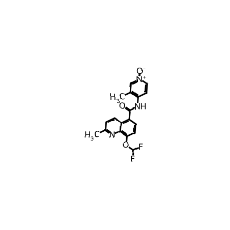 Cc1ccc2c(C(=O)Nc3cc[n+]([O-])cc3C)ccc(OC(F)F)c2n1